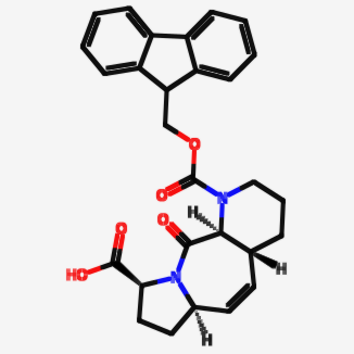 O=C(O)[C@@H]1CC[C@@H]2C=C[C@H]3CCCN(C(=O)OCC4c5ccccc5-c5ccccc54)[C@@H]3C(=O)N21